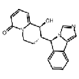 O=c1cccc2n1CC[C@@H]([C@@H]1c3ccccc3-c3cncn31)[C@@H]2O